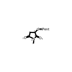 CCCC(C)SC1CC(=O)N(C)C1=O